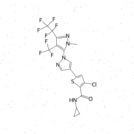 Cn1nc(C(F)(F)C(F)(F)F)c(C(F)(F)F)c1-n1cc(-c2cc(Cl)c(C(=O)NC3CC3)s2)cn1